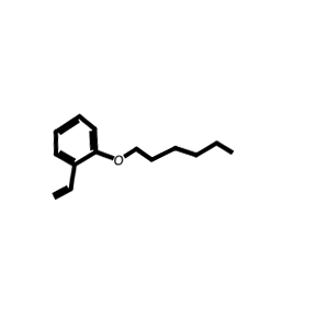 C=Cc1ccccc1OCCCCCC